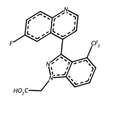 O=C(O)Cn1nc(-c2ccnc3ccc(F)cc23)c2c(C(F)(F)F)cccc21